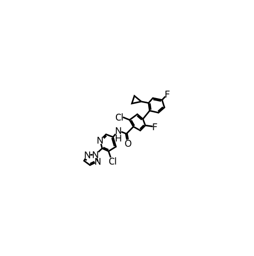 O=C(Nc1cnc(-n2nccn2)c(Cl)c1)c1cc(F)c(-c2ccc(F)cc2C2CC2)cc1Cl